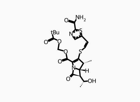 C[C@@H](O)[C@H]1C(=O)N2C(C(=O)OCOC(=O)C(C)(C)C)=C(S/C=C\c3cnc(C(N)=O)s3)[C@H](C)[C@H]12